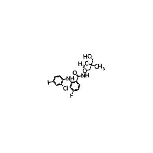 CC(C)(CO)CONC(=O)c1ccc(F)cc1Nc1ccc(I)cc1Cl